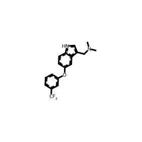 CN(C)Cc1c[nH]c2ccc(Oc3cccc(C(F)(F)F)c3)cc12